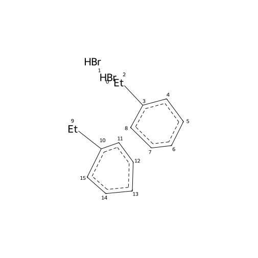 Br.Br.CCc1ccccc1.CCc1ccccc1